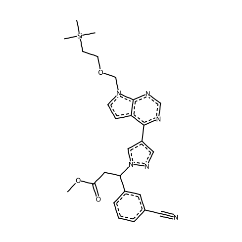 COC(=O)CC(c1cccc(C#N)c1)n1cc(-c2ncnc3c2ccn3COCC[Si](C)(C)C)cn1